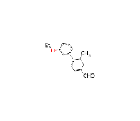 CCOc1cccc(C2=CC=C(C=O)CC2C)c1